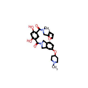 CN1CCC(Oc2ccc3c(c2)CN(C(=O)c2cc(C(=O)N(C)Cc4ccco4)c(O)cc2O)C3)CC1